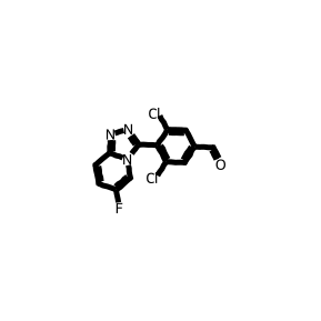 O=Cc1cc(Cl)c(-c2nnc3ccc(F)cn23)c(Cl)c1